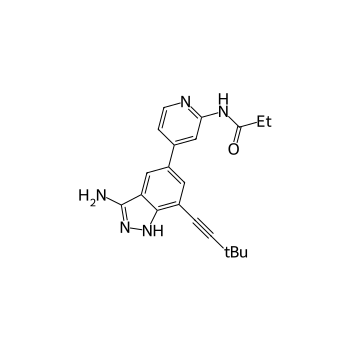 CCC(=O)Nc1cc(-c2cc(C#CC(C)(C)C)c3[nH]nc(N)c3c2)ccn1